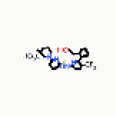 CC1(C(=O)O)CCCN(c2cccc(SNc3ccc(C(F)(F)F)c(-c4ccccc4CCO)n3)n2)C1